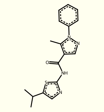 Cc1c(C(=O)Nc2ncc(C(C)C)s2)cnn1-c1ccccc1